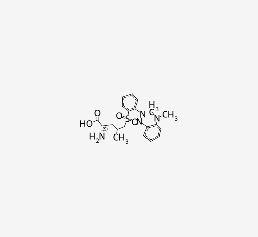 CC(C[C@H](N)C(=O)O)CS(=O)(=O)c1ccccc1N=Nc1ccccc1N(C)C